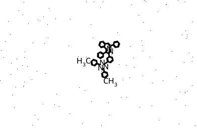 Cc1ccc(-c2nc(-c3ccc(C)cc3)nc(-c3cccc(-c4nn5c(-c6ccccc6)cc6ccccc6c5c4-c4ccccc4)c3)n2)cc1